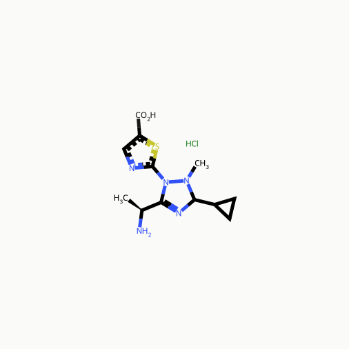 C[C@H](N)C1=NC(C2CC2)N(C)N1c1ncc(C(=O)O)s1.Cl